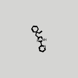 C=CC1(Cc2c[nH]c(-c3ccccn3)n2)C=CC=CC1